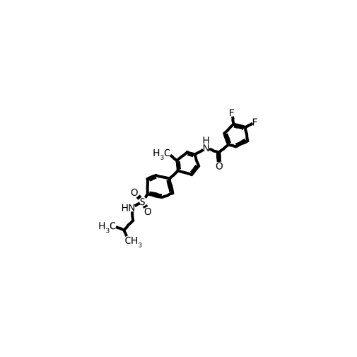 Cc1cc(NC(=O)c2ccc(F)c(F)c2)ccc1-c1ccc(S(=O)(=O)NCC(C)C)cc1